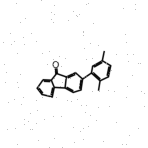 Cc1ccc(C)c(-c2ccc3c(c2)C(=O)c2ccccc2-3)c1